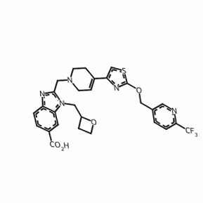 O=C(O)c1ccc2nc(CN3CC=C(c4csc(OCc5ccc(C(F)(F)F)nc5)n4)CC3)n(CC3CCO3)c2c1